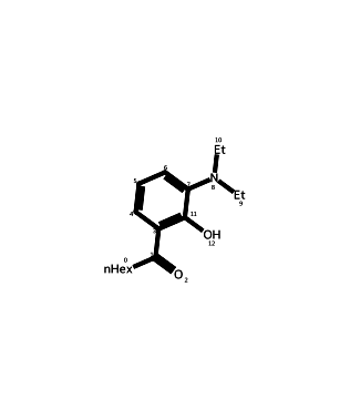 [CH2]CCCCCC(=O)c1cccc(N(CC)CC)c1O